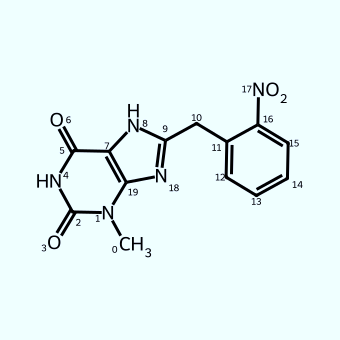 Cn1c(=O)[nH]c(=O)c2[nH]c(Cc3ccccc3[N+](=O)[O-])nc21